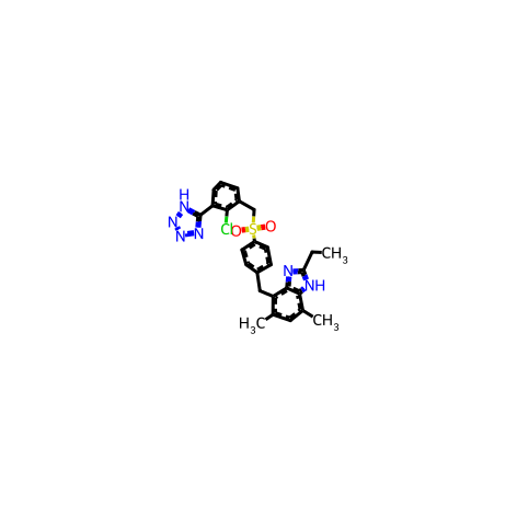 CCc1nc2c(Cc3ccc(S(=O)(=O)Cc4cccc(-c5nnn[nH]5)c4Cl)cc3)c(C)cc(C)c2[nH]1